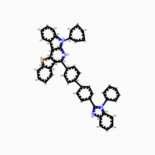 c1ccc(-n2c(-c3ccc(-c4ccc(-c5nc6c(c7ccccc7n6-c6ccccc6)c6sc7ccccc7c56)cc4)cc3)nc3ccccc32)cc1